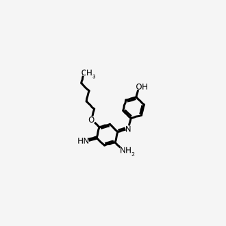 CCCCCOC1=CC(=Nc2ccc(O)cc2)C(N)=CC1=N